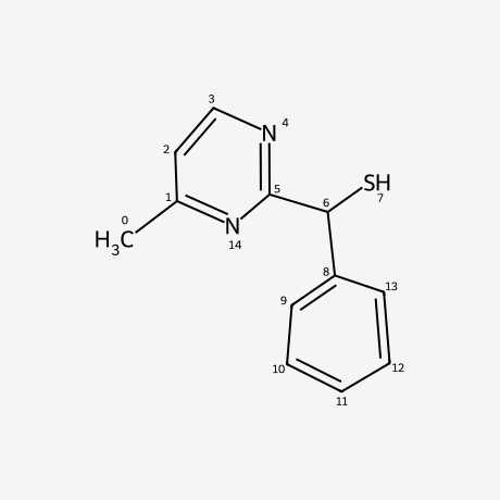 Cc1ccnc(C(S)c2ccccc2)n1